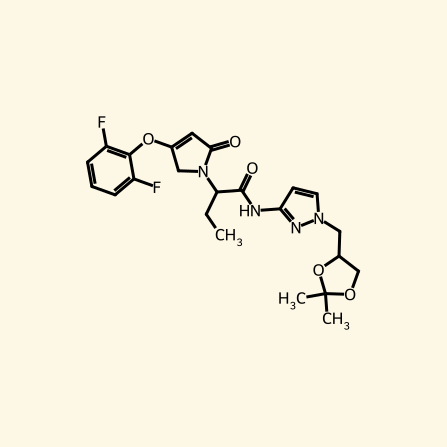 CCC(C(=O)Nc1ccn(CC2COC(C)(C)O2)n1)N1CC(Oc2c(F)cccc2F)=CC1=O